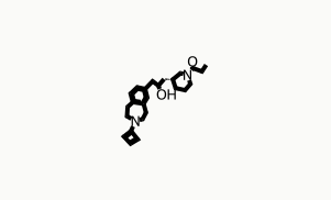 CCC(=O)N1CCC[C@H](CC(O)Cc2ccc3c(c2)CCN(C2=CC=C2)CC3)C1